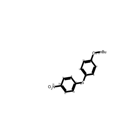 CCCCOc1ccc(Sc2ccc([N+](=O)[O-])cc2)cc1